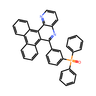 O=P(c1ccccc1)(c1ccccc1)c1cccc(-c2nc3cccnc3c3c4ccccc4c4ccccc4c23)c1